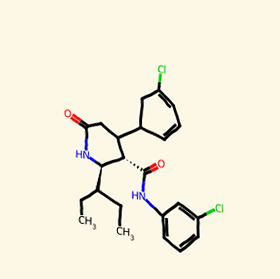 CCC(CC)[C@H]1NC(=O)CC(C2C=CC=C(Cl)C2)[C@@H]1C(=O)Nc1cccc(Cl)c1